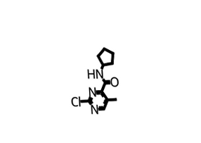 Cc1cnc(Cl)nc1C(=O)NC1CCCC1